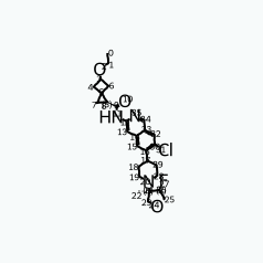 CCOC1CC2(C1)C[C@@H]2C(=O)Nc1cc2cc(C3CCN([C@]4(C)COC[C@@H]4F)CC3)c(Cl)cc2cn1